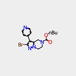 CCCCOC(=O)N1CCn2nc(Br)c(-c3ccncc3)c2C1